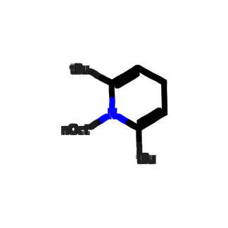 CCCCCCCCN1C(C(C)(C)C)=CCC=C1C(C)(C)C